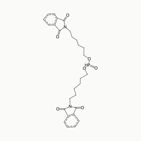 O=C1c2ccccc2C(=O)N1CCCCCCO[PH](=O)OCCCCCCN1C(=O)c2ccccc2C1=O